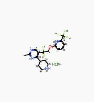 Cc1ncc(C(F)(F)COc2cccc(C(F)(F)F)n2)c(C2CCNCC2)n1.Cl